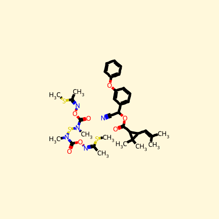 CC(C)=CC1C(C(=O)OC(C#N)c2cccc(Oc3ccccc3)c2)C1(C)C.CS/C(C)=N\OC(=O)N(C)SN(C)C(=O)O/N=C(/C)SC